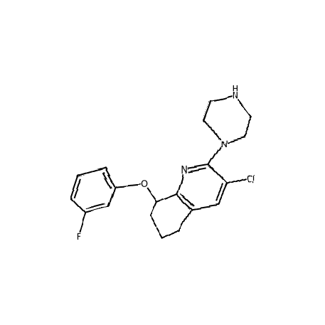 Fc1cccc(OC2CCCc3cc(Cl)c(N4CCNCC4)nc32)c1